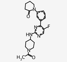 CC(=O)N1CCC(Nc2ncc(F)c(-c3cccc(N4CCCCC4=O)c3)n2)CC1